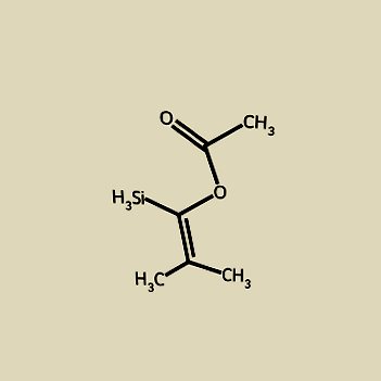 CC(=O)OC([SiH3])=C(C)C